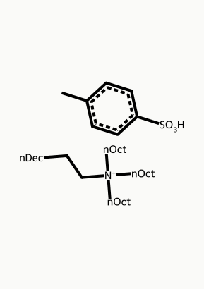 CCCCCCCCCCCC[N+](CCCCCCCC)(CCCCCCCC)CCCCCCCC.Cc1ccc(S(=O)(=O)O)cc1